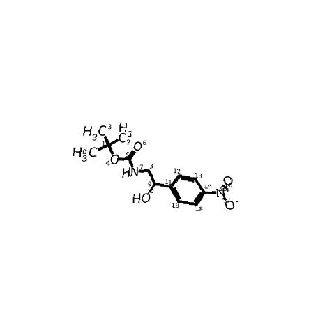 CC(C)(C)OC(=O)NCC(O)c1ccc([N+](=O)[O-])cc1